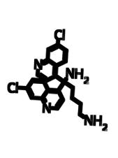 NCCCCC(N)(c1ccnc2cc(Cl)ccc12)c1ccnc2cc(Cl)ccc12